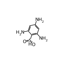 Nc1cc(N)c([SH](=O)=O)c(N)c1